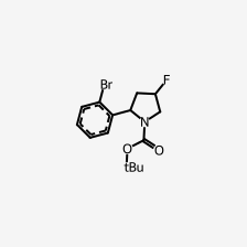 CC(C)(C)OC(=O)N1CC(F)CC1c1ccccc1Br